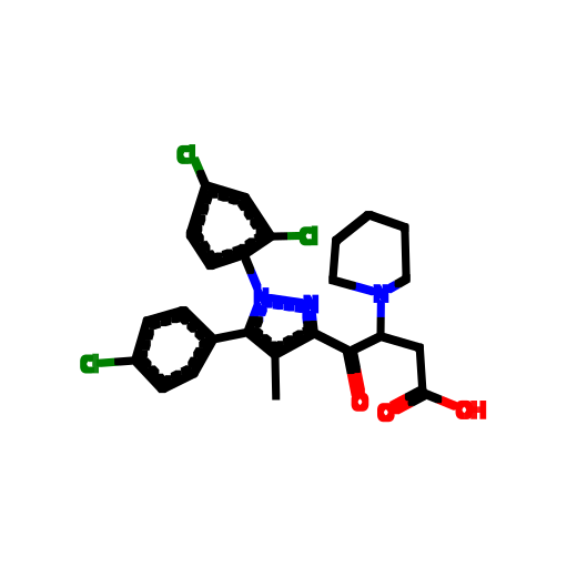 Cc1c(C(=O)C(CC(=O)O)N2CCCCC2)nn(-c2ccc(Cl)cc2Cl)c1-c1ccc(Cl)cc1